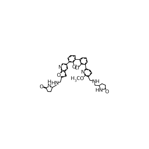 COc1nc(-c2cccc(-c3cccc(-c4cnc5oc(CNCC6CCC(=O)N6)cc5c4)c3Cl)c2Cl)ccc1CNCC1CCC(=O)N1